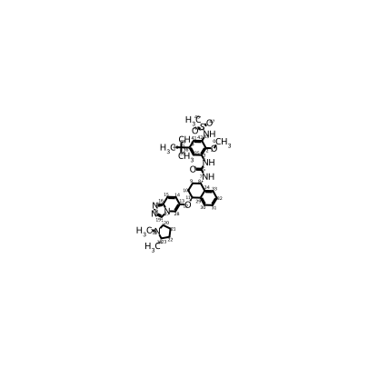 COc1c(NC(=O)N[C@H]2CC[C@H](Oc3ccc4nnc([C@@H]5CC[C@H](C)N5C)n4c3)c3ccccc32)cc(C(C)(C)C)cc1NS(C)(=O)=O